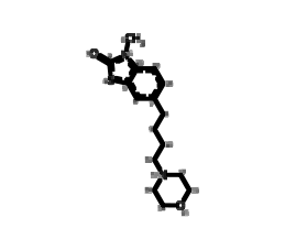 Cn1c(=O)sc2cc(CCCCN3CCOCC3)ccc21